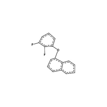 Fc1cccc(Oc2cc[c]c3ccccc23)c1F